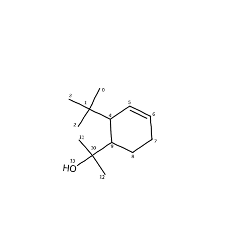 CC(C)(C)C1C=CCCC1C(C)(C)O